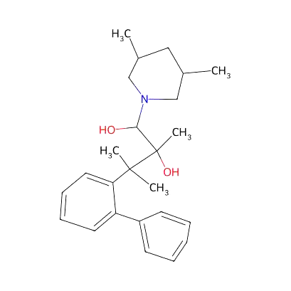 CC1CC(C)CN(C(O)C(C)(O)C(C)(C)c2ccccc2-c2ccccc2)C1